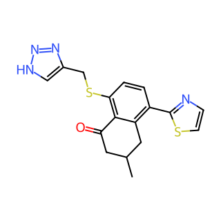 CC1CC(=O)c2c(SCc3c[nH]nn3)ccc(-c3nccs3)c2C1